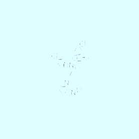 O=C(N[C@H](C=C1CCN(c2ccccc2CN2CCCCC2=O)CC1)Cc1ccc(Cl)cc1)c1cc(=O)c2cc(Cl)ccc2o1